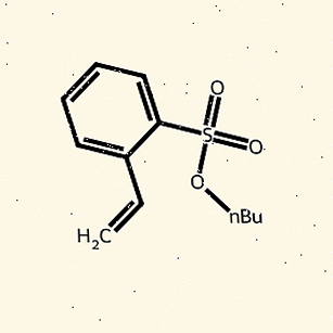 C=Cc1ccccc1S(=O)(=O)OCCCC